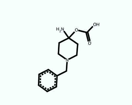 NC1(OC(=O)O)CCN(Cc2ccccc2)CC1